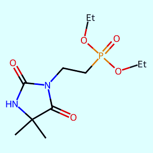 CCOP(=O)(CCN1C(=O)NC(C)(C)C1=O)OCC